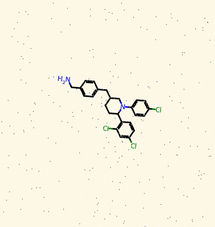 NCc1ccc(CC2CCC(c3ccc(Cl)cc3Cl)N(c3ccc(Cl)cc3)C2)cc1